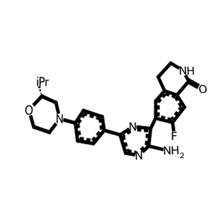 CC(C)[C@@H]1CN(c2ccc(-c3cnc(N)c(-c4cc5c(cc4F)C(=O)NCC5)n3)cc2)CCO1